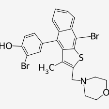 Cc1c(CN2CCOCC2)sc2c(Br)c3ccccc3c(-c3ccc(O)c(Br)c3)c12